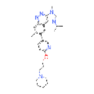 Cc1cc2nnc3c(c2cc1-c1ccc(OCCCN2CCCCC2)nc1)N(C(C)C)CN3C